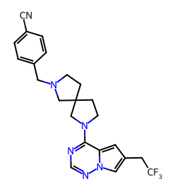 N#Cc1ccc(CN2CCC3(CCN(c4ncnn5cc(CC(F)(F)F)cc45)C3)C2)cc1